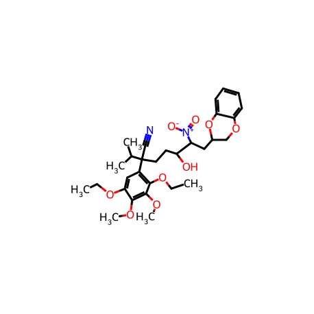 CCOc1cc(C(C#N)(CCC(O)C(CC2COc3ccccc3O2)[N+](=O)[O-])C(C)C)c(OCC)c(OC)c1OC